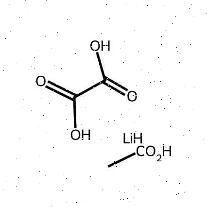 CC(=O)O.O=C(O)C(=O)O.[LiH]